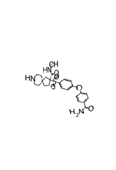 NC(=O)c1ccc(Oc2ccc(S(=O)(=O)C3(C(=O)NO)CCC4(CCNCC4)C3)cc2)cc1